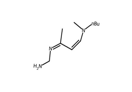 CCCCN(C)/C=C\C(C)=N/CN